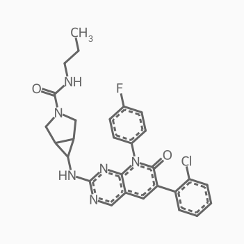 CCCNC(=O)N1CC2C(C1)C2Nc1ncc2cc(-c3ccccc3Cl)c(=O)n(-c3ccc(F)cc3)c2n1